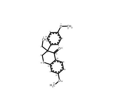 CCC1(c2ccc(OC)cc2)CSc2cc(OC)ccc2C1=O